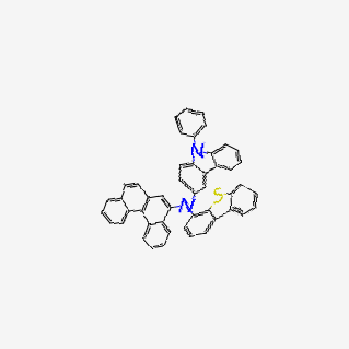 c1ccc(-n2c3ccccc3c3cc(N(c4cc5ccc6ccccc6c5c5ccccc45)c4cccc5c4sc4ccccc45)ccc32)cc1